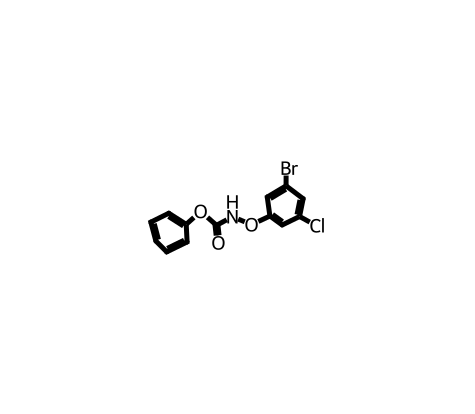 O=C(NOc1cc(Cl)cc(Br)c1)Oc1ccccc1